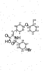 O=C(O)/C(=C/c1ccc(Oc2ccccc2I)cc1)NC(=O)c1ccc(Br)cc1